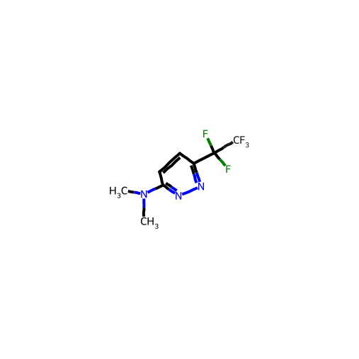 CN(C)c1ccc(C(F)(F)C(F)(F)F)nn1